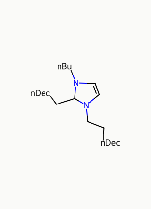 CCCCCCCCCCCCN1C=CN(CCCC)C1CCCCCCCCCCC